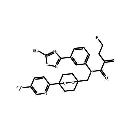 C=C(CCF)C(=O)N(CC12CCC(c3ccc(C(F)(F)F)cn3)(CC1)CC2)c1cccc(-c2noc(C(C)(C)C)n2)c1